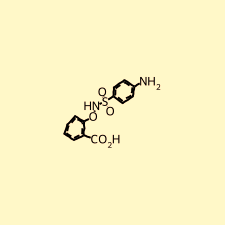 Nc1ccc(S(=O)(=O)NOc2ccccc2C(=O)O)cc1